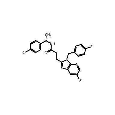 C[C@H](NC(=O)CCc1nc2cc(Br)cnc2n1Cc1ccc(F)cc1)c1ccc(Cl)cc1